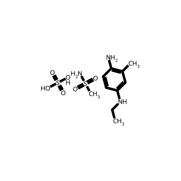 CCNc1ccc(N)c(C)c1.CS(N)(=O)=O.O=S(=O)(O)O